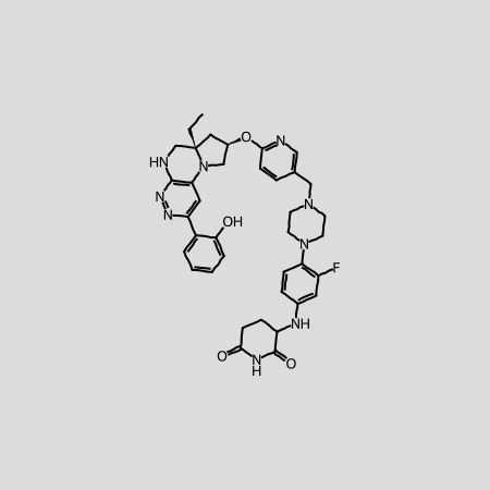 CC[C@]12CNc3nnc(-c4ccccc4O)cc3N1C[C@H](Oc1ccc(CN3CCN(c4ccc(NC5CCC(=O)NC5=O)cc4F)CC3)cn1)C2